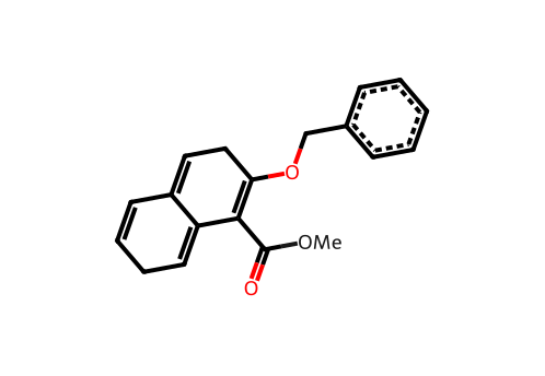 COC(=O)C1=C(OCc2ccccc2)CC=C2C=CCC=C21